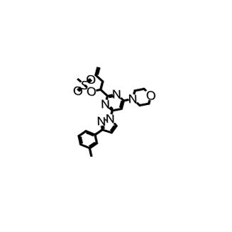 C=CCC(OS(C)(=O)=O)c1nc(N2CCOCC2)cc(-n2ccc(-c3cccc(C)c3)n2)n1